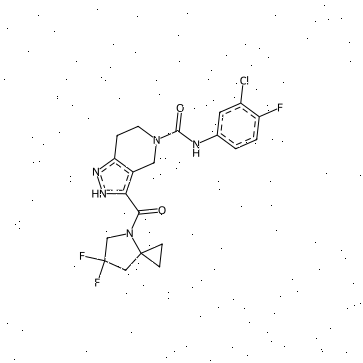 O=C(Nc1ccc(F)c(Cl)c1)N1CCc2n[nH]c(C(=O)N3CC(F)(F)CC34CC4)c2C1